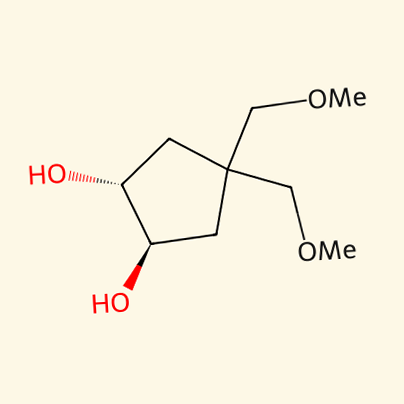 COCC1(COC)C[C@@H](O)[C@H](O)C1